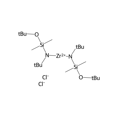 CC(C)(C)O[Si](C)(C)[N]([Zr+2][N](C(C)(C)C)[Si](C)(C)OC(C)(C)C)C(C)(C)C.[Cl-].[Cl-]